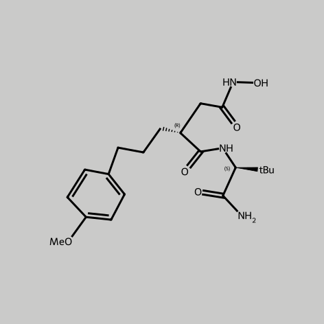 COc1ccc(CCC[C@H](CC(=O)NO)C(=O)N[C@H](C(N)=O)C(C)(C)C)cc1